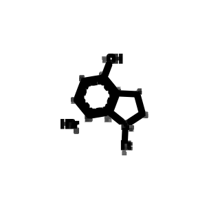 Br.CCN1CCc2c(O)cccc21